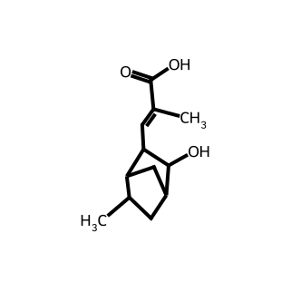 CC(=CC1C(O)C2CC(C)C1C2)C(=O)O